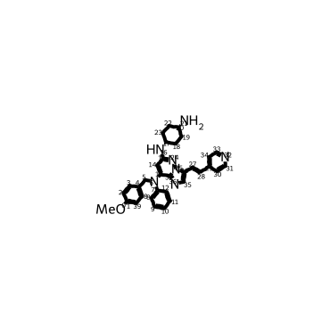 COc1ccc(CN(c2ccccc2)c2cc(N[C@H]3CC[C@H](N)CC3)nn3c(C=Cc4ccncc4)cnc23)cc1